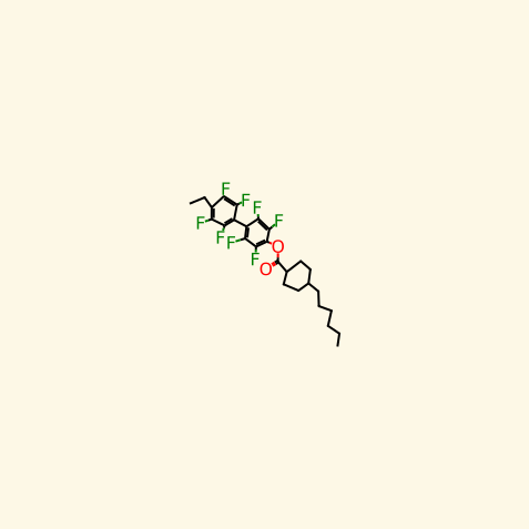 CCCCCCC1CCC(C(=O)Oc2c(F)c(F)c(-c3c(F)c(F)c(CC)c(F)c3F)c(F)c2F)CC1